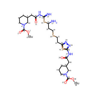 CC(C)(C)OC(=O)N1CCCC(CC(=O)NC(=N)SC(N)CCSCCc2nnc(NC(=O)CC3CCCN(C(=O)OC(C)(C)C)C3)s2)C1